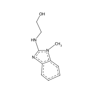 Cn1c(NCCO)nc2ccccc21